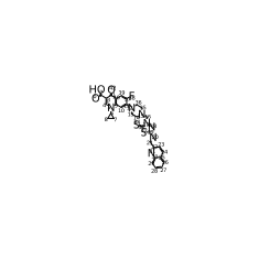 O=C(O)c1cn(C2CC2)c2cc(N3CCN(Cn4nc(N=Cc5ccc6ccccc6n5)sc4=S)CC3)c(F)cc2c1=O